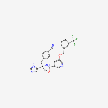 CC(Cc1ccc(C#N)cc1)(NC(=O)c1cncc(OCc2cccc(C(F)(F)F)c2)c1)c1cnc[nH]1